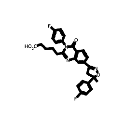 CC1(c2ccc(F)cc2)CC(c2ccc3c(=O)n(-c4ccc(F)cc4)c(CCCCC(=O)O)nc3c2)=NO1